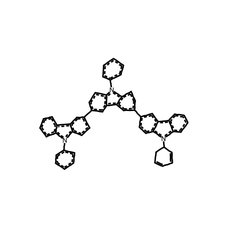 C1=CCC(n2c3ccccc3c3cc(-c4ccc5c(c4)c4cc(-c6ccc7c(c6)c6ccccc6n7-c6ccccc6)ccc4n5-c4ccccc4)ccc32)C=C1